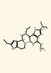 CCc1cc2c(s1)CCOC2CN(CC)C1COC(CN)c2cc(N(C)C)sc21